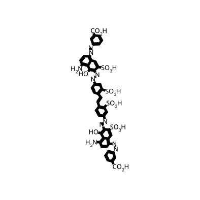 Nc1ccc(N=Nc2cccc(C(=O)O)c2)c2cc(S(=O)(=O)O)c(N=Nc3ccc(/C=C/c4ccc(N=Nc5c(S(=O)(=O)O)cc6c(/N=N\c7cccc(C(=O)O)c7)ccc(N)c6c5O)cc4S(=O)(=O)O)c(S(=O)(=O)O)c3)c(O)c12